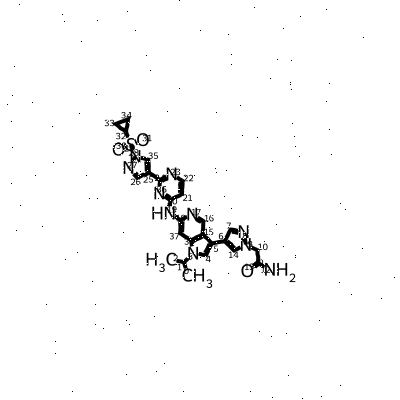 CC(C)n1cc(-c2cnn(CC(N)=O)c2)c2cnc(Nc3ccnc(-c4cnn(S(=O)(=O)C5CC5)c4)n3)cc21